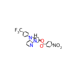 O=C(O[C@@H]1C[C@@H]2CN(c3ccc(C(F)(F)F)cc3)c3cccnc3N2C1)c1ccc([N+](=O)[O-])cc1